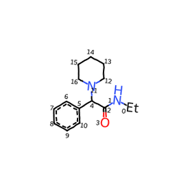 CCNC(=O)C(c1ccccc1)N1CCCCC1